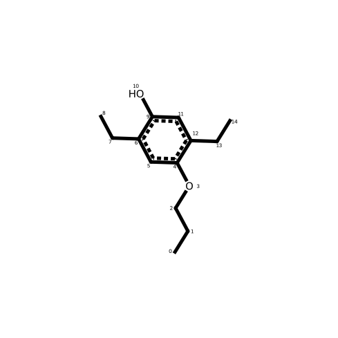 CCCOc1cc(CC)c(O)cc1CC